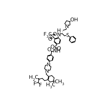 C=C(CCC1=C(CN2CCN(c3ccc(C(=O)NS(=O)(=O)c4ccc(N[C@H](CCN5CCC(O)C5)CSc5ccccc5)c(S(=O)(=O)C(F)(F)F)c4)cc3)CC2)CCC(C)(C)C1)C(F)F